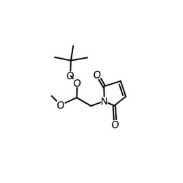 COC(CN1C(=O)C=CC1=O)OOC(C)(C)C